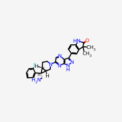 CC1(C)C(=O)Nc2ccc(-c3n[nH]c4nc(N5CC[C@@H]6[C@H](C5)[C@@]6(CN)c5ccccc5F)cnc34)cc21